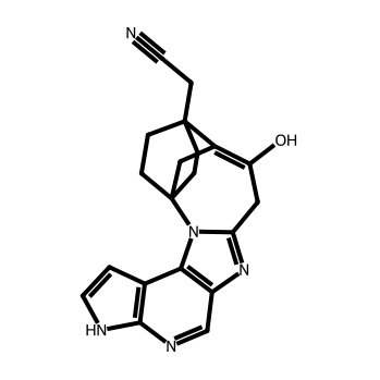 N#CCC12CCC3(CC1)CC2=C(O)Cc1nc2cnc4[nH]ccc4c2n13